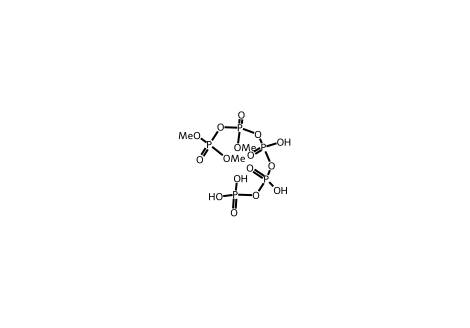 COP(=O)(OC)OP(=O)(OC)OP(=O)(O)OP(=O)(O)OP(=O)(O)O